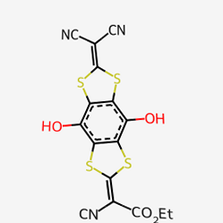 [C-]#[N+]C(C(=O)OCC)=C1Sc2c(O)c3c(c(O)c2S1)SC(=C(C#N)C#N)S3